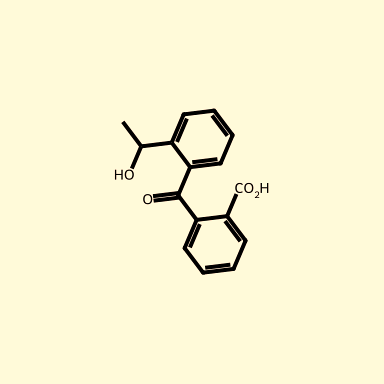 CC(O)c1ccccc1C(=O)c1ccccc1C(=O)O